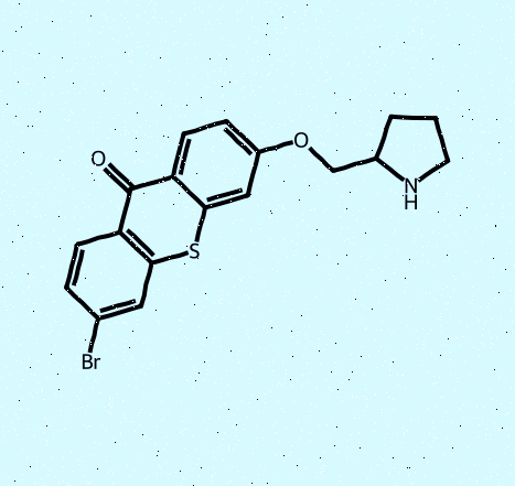 O=c1c2ccc(Br)cc2sc2cc(OCC3CCCN3)ccc12